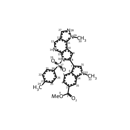 COC(=O)c1ccc2c(-c3cc4c5c(cnc4n3S(=O)(=O)c3ccc(C)cc3)cnn5C)cn(C)c2c1